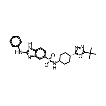 CC(C)(C)c1nnc([C@H]2CC[C@H](NS(=O)(=O)c3ccc4[nH]c(Nc5ccccc5)nc4c3)CC2)o1